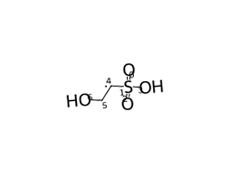 O=S(=O)(O)[CH]CO